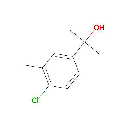 Cc1cc(C(C)(C)O)ccc1Cl